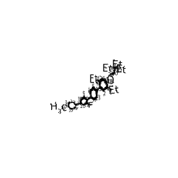 CCc1cc(-c2ccc(-c3ccc(C4CCC(C)CC4)cc3F)cc2)c(CC)cc1OCCC(CC)(CC)CC